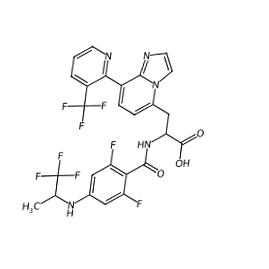 CC(Nc1cc(F)c(C(=O)NC(Cc2ccc(-c3ncccc3C(F)(F)F)c3nccn23)C(=O)O)c(F)c1)C(F)(F)F